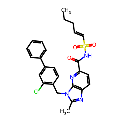 CCCC=CS(=O)(=O)NC(=O)c1ccc2nc(C)n(Cc3ccc(-c4ccccc4)cc3Cl)c2n1